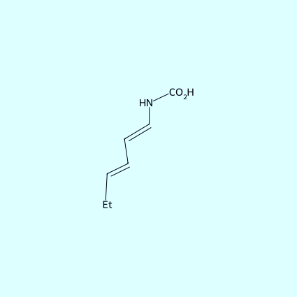 CC/C=C/C=C/NC(=O)O